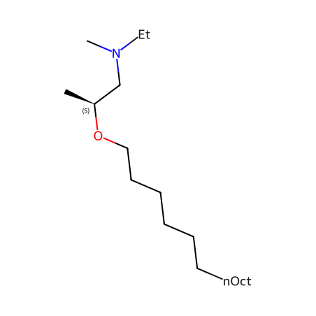 CCCCCCCCCCCCCCO[C@@H](C)CN(C)CC